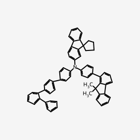 CC1(C)c2ccccc2-c2cccc(-c3ccc(N(c4ccc(-c5ccc(-c6ccccc6-c6ccccc6)cc5)cc4)c4ccc5c(c4)C4(CCCC4)c4ccccc4-5)cc3)c21